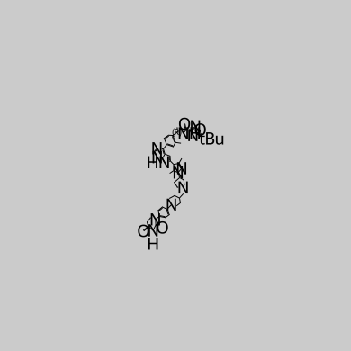 Cc1cc(-c2ncnc3[nH]c(-c4c(C)nn(C5CCN(CC6CCN(c7ccc(N8CCC(=O)NC8=O)cc7)CC6)CC5)c4C)cc23)ccc1[C@@H](C)NC(=O)c1noc(C(C)(C)C)n1